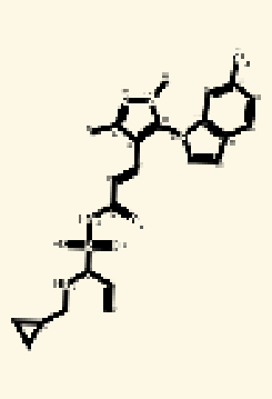 C=CC(NCC1CC1)S(=O)(=O)NC(=O)/C=C/c1c(C)nn(C)c1-n1ccc2ccc(C(F)(F)F)cc21